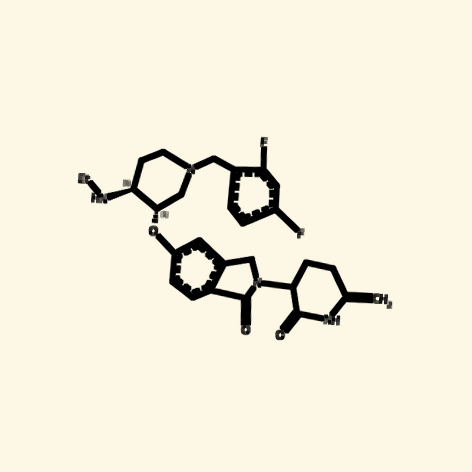 C=C1CCC(N2Cc3cc(O[C@H]4CN(Cc5ccc(F)cc5F)CC[C@@H]4NCC)ccc3C2=O)C(=O)N1